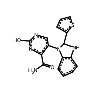 NC(=O)c1nc(O)ncc1N1c2ccccc2NC1c1cccs1